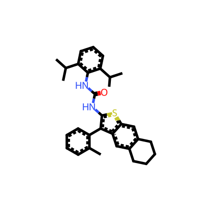 Cc1ccccc1-c1c(NC(=O)Nc2c(C(C)C)cccc2C(C)C)sc2cc3c(cc12)CCCC3